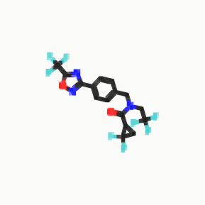 O=C(C1CC1(F)F)N(Cc1ccc(-c2noc(C(F)(F)F)n2)cc1)CC(F)(F)F